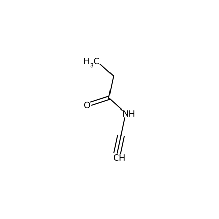 C#CNC(=O)CC